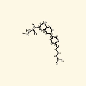 CCNC(=O)N(C)c1cnc2ccc(-c3ccc(OCCCN(C)C)nc3)cc2n1